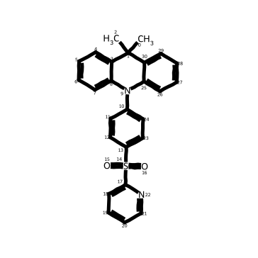 CC1(C)c2ccccc2N(c2ccc(S(=O)(=O)c3ccccn3)cc2)c2ccccc21